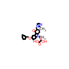 Cc1nccn1CC1CCc2c(c3cc(OCc4ccccc4)ccc3n2C)C1=O.O=C(O)C(=O)O